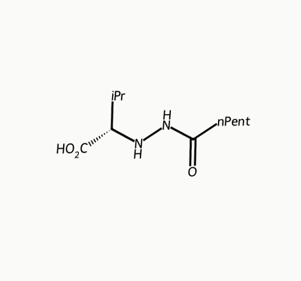 CCCCCC(=O)NN[C@H](C(=O)O)C(C)C